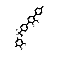 Cc1ccc(-c2ccc(-c3ccc(C(F)(F)Oc4cc(F)c(F)c(F)c4)cc3)c(F)c2Cl)cc1